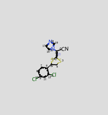 N#C/C(=C1\SC[C@@H](c2ccc(Cl)cc2Cl)S1)n1ccnc1